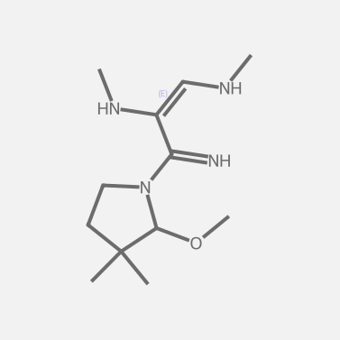 CN/C=C(/NC)C(=N)N1CCC(C)(C)C1OC